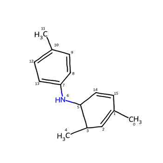 CC1=CC(C)C(Nc2ccc(C)cc2)C=C1